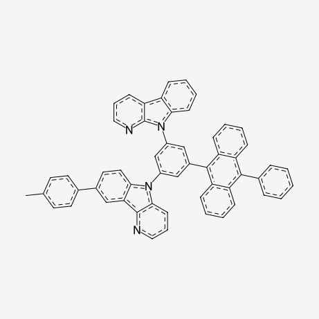 Cc1ccc(-c2ccc3c(c2)c2ncccc2n3-c2cc(-c3c4ccccc4c(-c4ccccc4)c4ccccc34)cc(-n3c4ccccc4c4cccnc43)c2)cc1